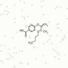 CCCCO[C@@H](C)[C@H](C)Oc1ccc(C(=O)O)cc1